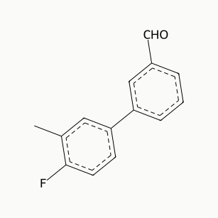 Cc1cc(-c2cccc(C=O)c2)ccc1F